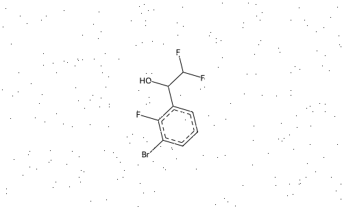 OC(c1cccc(Br)c1F)C(F)F